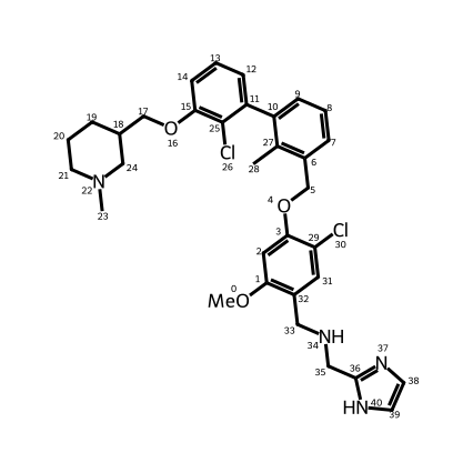 COc1cc(OCc2cccc(-c3cccc(OCC4CCCN(C)C4)c3Cl)c2C)c(Cl)cc1CNCc1ncc[nH]1